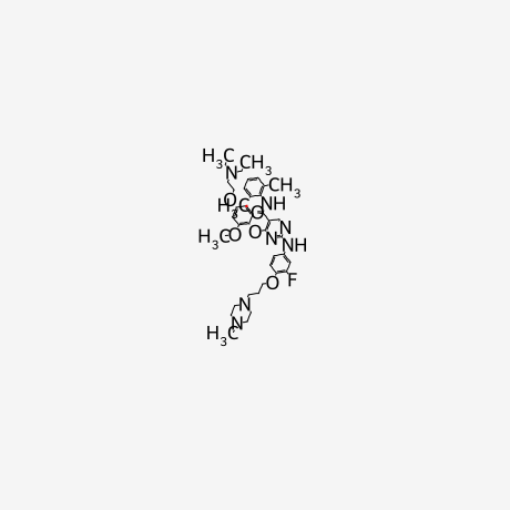 CCN(CC)CCOc1ccc(Oc2nc(Nc3ccc(OCCCN4CCN(C)CC4)c(F)c3)ncc2C(=O)Nc2c(C)cccc2C)c(OC)c1